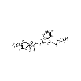 O=C(O)CCCCC(CCNS(=O)(=O)c1ccc(C(F)(F)F)cc1)Cc1cccnc1